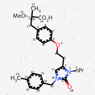 CCCn1c(CCOc2ccc(C[C@](C)(OC)C(=O)O)cc2)cn(Cc2ccc(C)cc2)c1=O